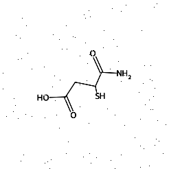 NC(=O)C(S)CC(=O)O